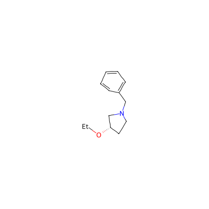 CCO[C@H]1CCN(Cc2ccccc2)C1